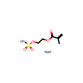 C=C(C)C(=O)OCCOS(=O)(=O)CCC.[NaH]